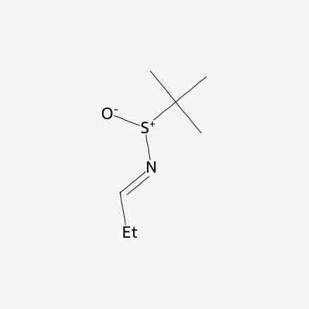 CCC=N[S+]([O-])C(C)(C)C